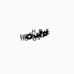 CC1CC(F)(F)CN1C(=O)c1csc(C(=O)NC2CCS(O)(O)CC2)n1